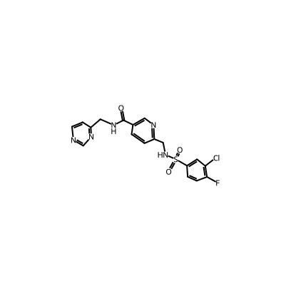 O=C(NCc1ccncn1)c1ccc(CNS(=O)(=O)c2ccc(F)c(Cl)c2)nc1